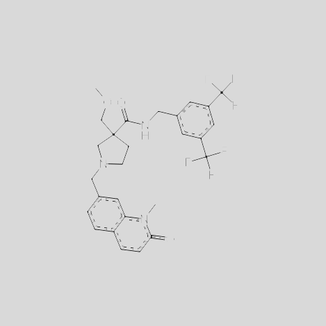 COCC1(C(=O)NCc2cc(C(F)(F)F)cc(C(F)(F)F)c2)CCN(Cc2ccc3ccc(=O)n(C)c3c2)C1